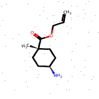 C=CCOC(=O)[C@]1(C)CC[C@@H](N)CC1